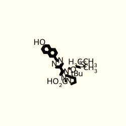 CC(C)(C)[C@]1(c2ncc(-c3cnc(-c4ccc5cc(O)ccc5c4)nc3)n2COCC[Si](C)(C)C)CCCN1C(=O)O